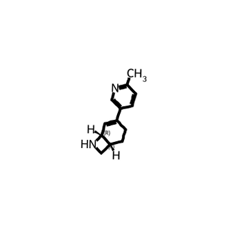 Cc1ccc(C2=C[C@H]3NC[C@H]3CC2)cn1